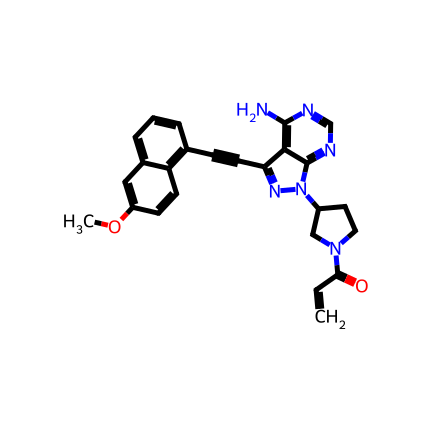 C=CC(=O)N1CCC(n2nc(C#Cc3cccc4cc(OC)ccc34)c3c(N)ncnc32)C1